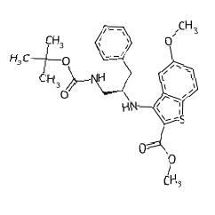 COC(=O)c1sc2ccc(OC)cc2c1N[C@@H](CNC(=O)OC(C)(C)C)Cc1ccccc1